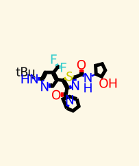 CC(C)(C)Nc1cc(C(F)F)c(-c2sc(C(=O)N[C@H]3CCC[C@@H]3O)nc2C(=O)N2C3CCC2CC3)cn1